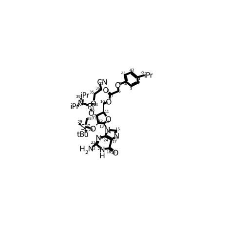 CC(C)c1ccc(OCC(=O)OC[C@H]2O[C@@H](n3cnc4c(=O)[nH]c(N)nc43)[C@H](O[Si](C)(C)C(C)(C)C)[C@@H]2OP(OCCC#N)N(C(C)C)C(C)C)cc1